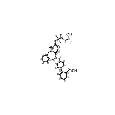 C[C@@H](O)CNC(C)(C)CC(=O)N[C@@H]1Cc2ccccc2CN(Cc2ccc(-c3ccccc3CO)cc2)C1=O